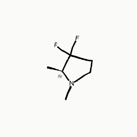 C[C@@H]1N(C)CCC1(F)F